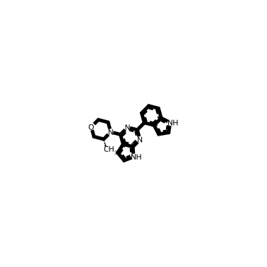 C[C@@H]1COCCN1c1nc(-c2cccc3[nH]ccc23)nc2[nH]ccc12